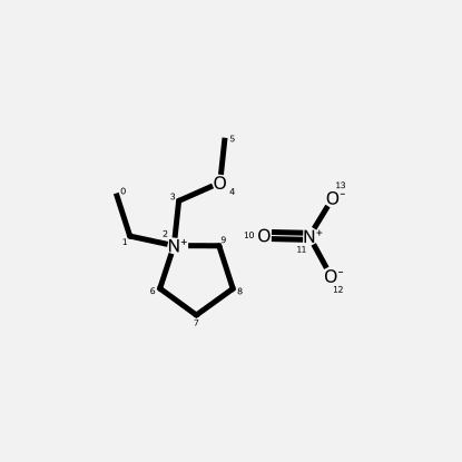 CC[N+]1(COC)CCCC1.O=[N+]([O-])[O-]